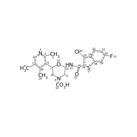 Cc1cnc(C)c(C2CN(C(=O)O)CC(NC(=O)c3sc4cc(F)ccc4c3Cl)O2)c1C